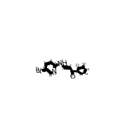 O=C(/C=C/Nc1ccc(Br)cn1)c1ccccc1